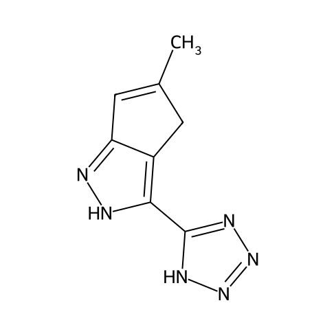 CC1=Cc2n[nH]c(-c3nnn[nH]3)c2C1